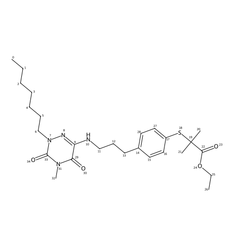 CCCCCCCn1nc(NCCCc2ccc(SC(C)(C)C(=O)OCC)cc2)c(=O)n(C)c1=O